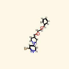 Brc1cc(N2CCC(COCCOCc3ccccc3)CC2)ccn1